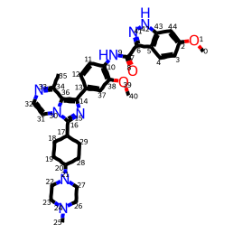 COc1ccc2c(C(=O)Nc3ccc(-c4nc(C5CCC(N6CCN(C)CC6)CC5)n5ccnc(C)c45)cc3OC)n[nH]c2c1